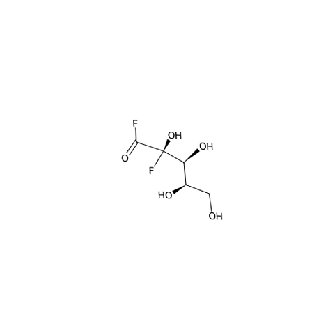 O=C(F)[C@@](O)(F)[C@@H](O)[C@H](O)CO